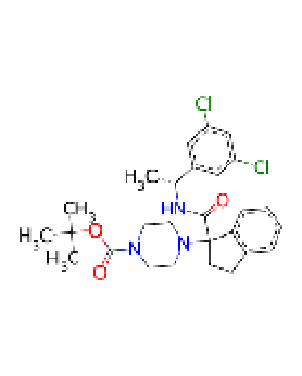 C[C@@H](NC(=O)C1(N2CCN(C(=O)OC(C)(C)C)CC2)CCc2ccccc21)c1cc(Cl)cc(Cl)c1